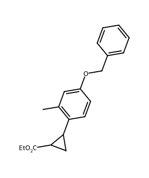 CCOC(=O)C1CC1c1ccc(OCc2ccccc2)cc1C